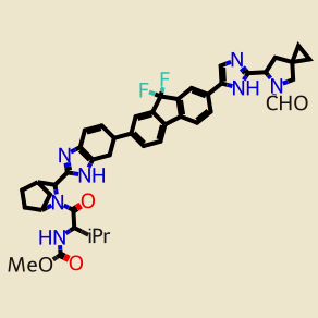 COC(=O)NC(C(=O)N1C2CCC(C2)C1c1nc2c([nH]1)CC(c1ccc3c(c1)C(F)(F)c1cc(-c4cnc(C5CC6(CC6)CN5C=O)[nH]4)ccc1-3)C=C2)C(C)C